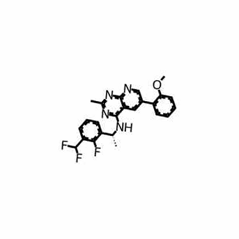 COc1ccccc1-c1cnc2nc(C)nc(N[C@H](C)c3cccc(C(F)F)c3F)c2c1